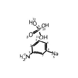 Nc1ccc[c]([Na])c1.O=P(O)(O)O